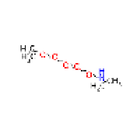 CC(C)COCCOCCOCCOCCOCCNC(C)C